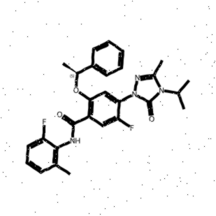 Cc1cccc(F)c1NC(=O)c1cc(F)c(-n2nc(C)n(C(C)C)c2=O)cc1O[C@@H](C)c1ccccc1